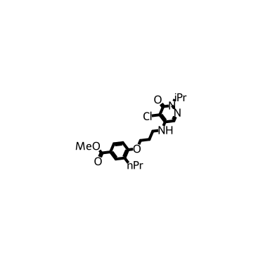 CCCc1cc(C(=O)OC)ccc1OCCCNc1cnn(C(C)C)c(=O)c1Cl